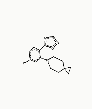 Ic1ccc(-c2ncno2)c(N2CCC3(CC2)CC3)c1